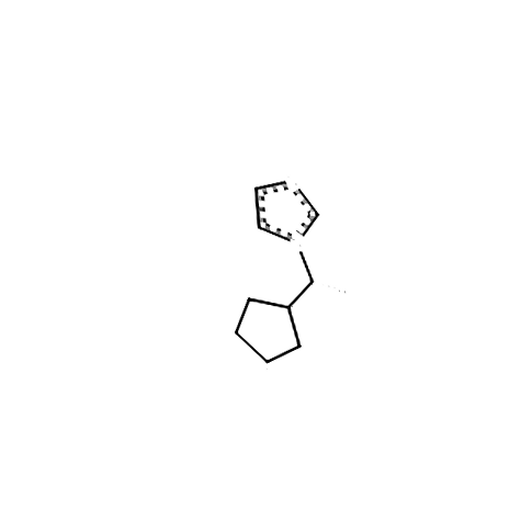 CCC[C@H](C1CCCC1)n1ccnc1